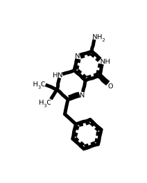 CC1(C)Nc2nc(N)[nH]c(=O)c2N=C1Cc1ccccc1